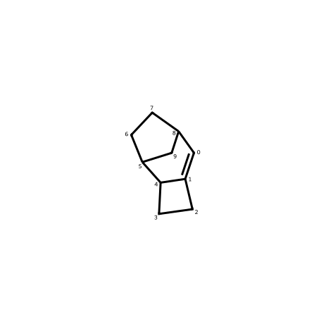 C1=C2CCC2C2CCC1C2